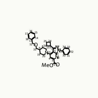 COC(=O)c1cc(N2CCC(COCc3ccccc3)CC2)c2c(C3CCC3)nn(-c3ccccc3)c2n1